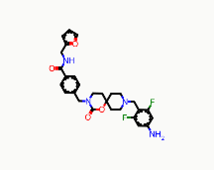 Nc1cc(F)c(CN2CCC3(CC2)CCN(Cc2ccc(C(=O)NCc4ccco4)cc2)C(=O)O3)c(F)c1